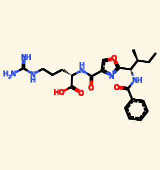 CC[C@H](C)[C@H](NC(=O)c1ccccc1)c1nc(C(=O)N[C@@H](CCCNC(=N)N)C(=O)O)co1